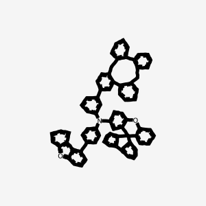 c1cc(-c2ccc3c(c2)-c2ccccc2Cc2ccccc2-c2ccccc2C3)cc(N(c2ccc(-c3cccc4oc5ccccc5c34)cc2)c2ccc3c(c2)C2(c4ccccc4O3)c3ccccc3-c3ccccc32)c1